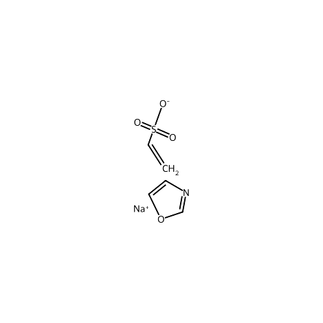 C=CS(=O)(=O)[O-].[Na+].c1cocn1